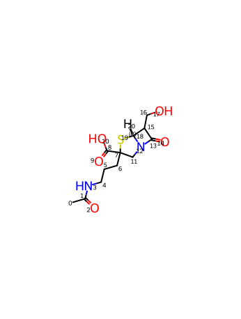 CC(=O)NCCCC1(C(=O)O)CN2C(=O)C(CO)[C@H]2S1